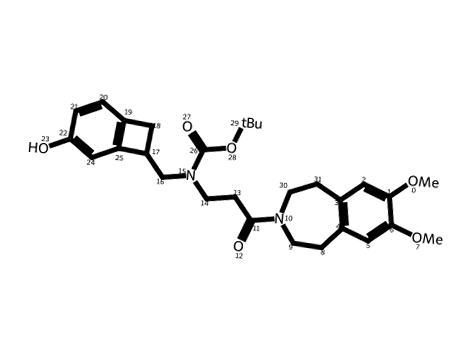 COc1cc2c(cc1OC)CCN(C(=O)CCN(CC1Cc3ccc(O)cc31)C(=O)OC(C)(C)C)CC2